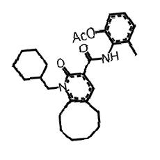 CC(=O)Oc1cccc(C)c1NC(=O)c1cc2c(n(CC3CCCCC3)c1=O)CCCCCC2